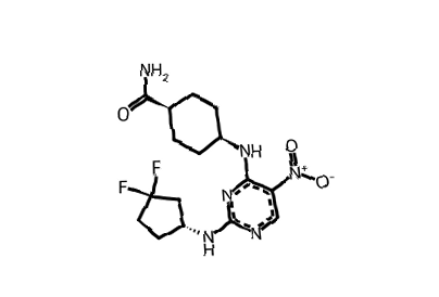 NC(=O)[C@H]1CC[C@@H](Nc2nc(N[C@@H]3CCC(F)(F)C3)ncc2[N+](=O)[O-])CC1